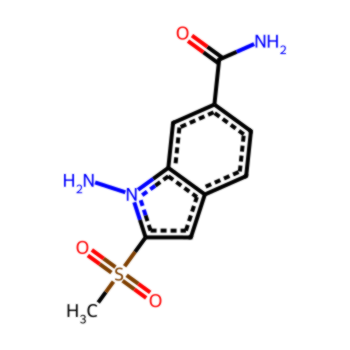 CS(=O)(=O)c1cc2ccc(C(N)=O)cc2n1N